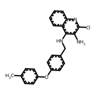 [CH2]c1ccc(Oc2ccc(CNc3c(N)c(Cl)nc4ccccc34)cc2)cc1